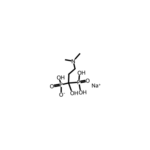 CN(C)CCC(O)(P(=O)([O-])O)P(=O)(O)O.[Na+]